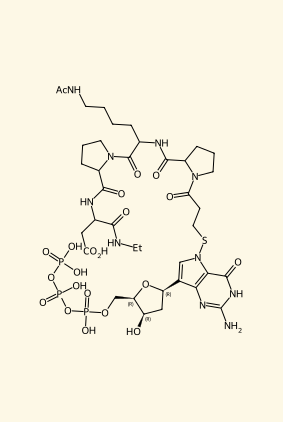 CCNC(=O)C(CC(=O)O)NC(=O)C1CCCN1C(=O)C(CCCCNC(C)=O)NC(=O)C1CCCN1C(=O)CCSn1cc([C@H]2C[C@@H](O)[C@@H](COP(=O)(O)OP(=O)(O)OP(=O)(O)O)O2)c2nc(N)[nH]c(=O)c21